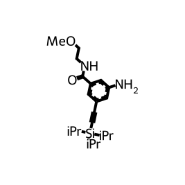 COCCNC(=O)c1cc(N)cc(C#C[Si](C(C)C)(C(C)C)C(C)C)c1